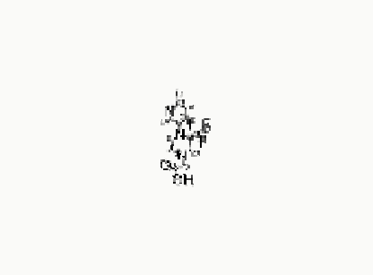 O=C(O)CN1CCN(c2ccc(I)nc2)C(C(F)(F)F)C1